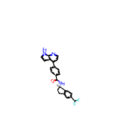 O=C(N[C@H]1CCc2cc(C(F)F)ccc21)c1ccc(-c2ccnc3[nH]ccc23)cc1